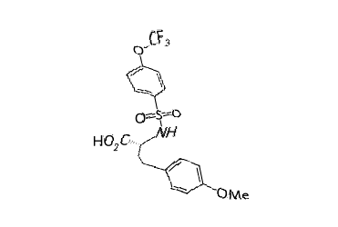 COc1ccc(C[C@@H](NS(=O)(=O)c2ccc(OC(F)(F)F)cc2)C(=O)O)cc1